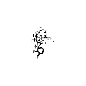 CC(=O)O[Si](OC(C)=O)(OC(C)=O)C(F)(F)N(F)C(=O)Oc1cccc(F)c1F